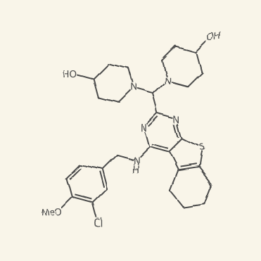 COc1ccc(CNc2nc(C(N3CCC(O)CC3)N3CCC(O)CC3)nc3sc4c(c23)CCCC4)cc1Cl